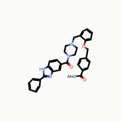 COC(=O)c1ccc(COc2ccccc2CN2CCN(C(=O)c3ccc4[nH]c(-c5ccccc5)nc4c3)CC2)cc1